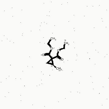 CCOC(=O)C1(C(=O)OCC)C[C@@H]1C